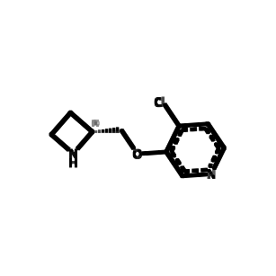 Clc1ccncc1OC[C@H]1CCN1